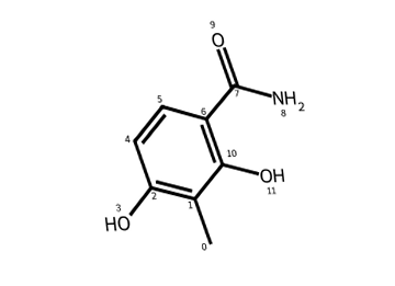 Cc1c(O)ccc(C(N)=O)c1O